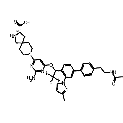 CC(=O)NCCc1ccc(-c2ccc(C(Oc3cc(N4CCC5(CC4)CN[C@H](C(=O)O)C5)nc(N)n3)C(F)(F)F)c(-n3ccc(C)n3)c2)cc1